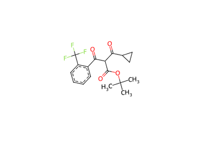 CC(C)(C)OC(=O)C(C(=O)c1ccccc1C(F)(F)F)C(=O)C1CC1